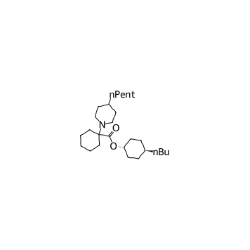 CCCCCC1CCN(C2(C(=O)O[C@H]3CC[C@H](CCCC)CC3)CCCCC2)CC1